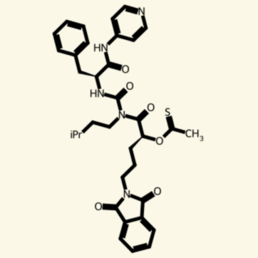 CC(=S)O[C@@H](CCCN1C(=O)c2ccccc2C1=O)C(=O)N(CCC(C)C)C(=O)N[C@@H](Cc1ccccc1)C(=O)Nc1ccncc1